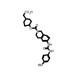 CC(C)(C)c1ccc(NC(=O)Nc2ccc3c(c2)CCN(C(=O)OC2CCC(CC(=O)O)CC2)C3)cc1